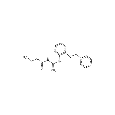 C=C(NC(=O)OCC)Nc1ncccc1OCc1ccccc1